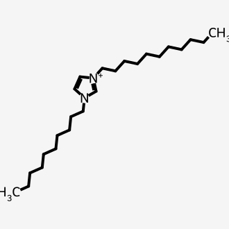 CCCCCCCCCCC[n+]1ccn(CCCCCCCCCC)c1